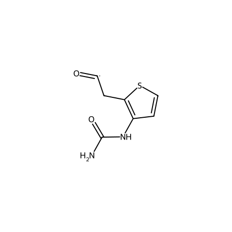 NC(=O)Nc1ccsc1C[C]=O